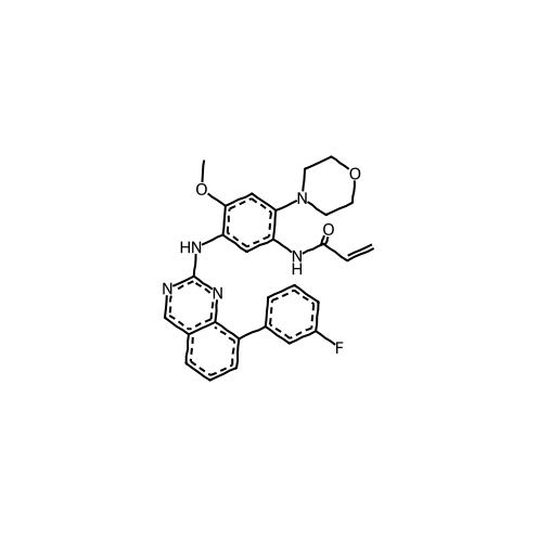 C=CC(=O)Nc1cc(Nc2ncc3cccc(-c4cccc(F)c4)c3n2)c(OC)cc1N1CCOCC1